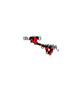 CCOc1cc(C(C)(C)C)ccc1C1=N[C@@](C)(c2ccc(Cl)cc2)[C@@](C)(c2ccc(Cl)cc2)N1C(=O)N1CCN(CCCCCCCCC(=O)NCCn2nc3c(c2OC)-c2cnc(N)c(c2)N2CCC[C@@H]2c2cc(F)ccc2C(=O)N(C)C3)CC1